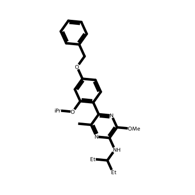 CCC(CC)Nc1nc(C)c(-c2ccc(OCc3ccccc3)cc2OC(C)C)nc1OC